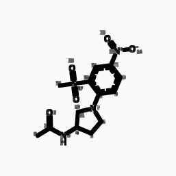 CC(=O)NC1CCN(c2ccc([N+](=O)[O-])cc2S(C)(=O)=O)C1